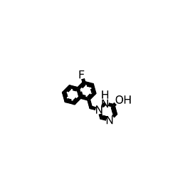 OC1=CN=CN(Cc2ccc(F)c3ccccc23)N1